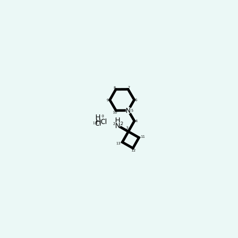 Cl.Cl.NC1(CN2CCCCC2)CCC1